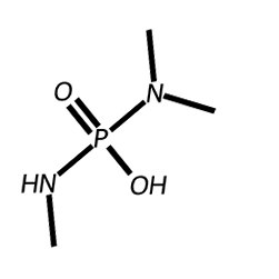 CNP(=O)(O)N(C)C